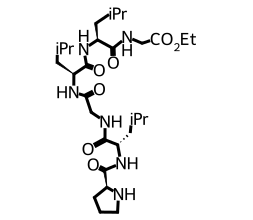 CCOC(=O)CNC(=O)[C@H](CC(C)C)NC(=O)[C@H](CC(C)C)NC(=O)CNC(=O)[C@H](CC(C)C)NC(=O)[C@@H]1CCCN1